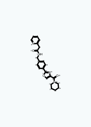 O=C(Cc1ccccn1)NCc1ccc(-c2nc(C(=O)N3CCCCC3)co2)cc1